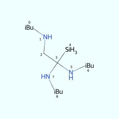 CCC(C)NCC([SiH3])(NC(C)CC)NC(C)CC